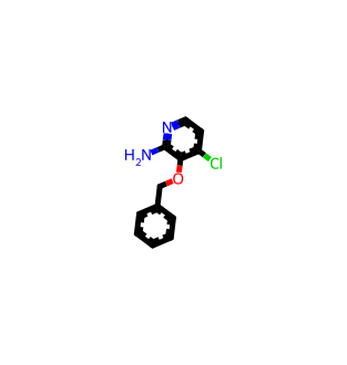 Nc1nccc(Cl)c1OCc1ccccc1